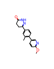 COc1ccc(-c2ccc(C3=NNC(=O)CC3)cc2C)cn1